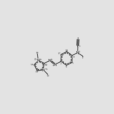 C#CN(C)c1ccc(/N=N/c2n(C)cc[n+]2C)cc1